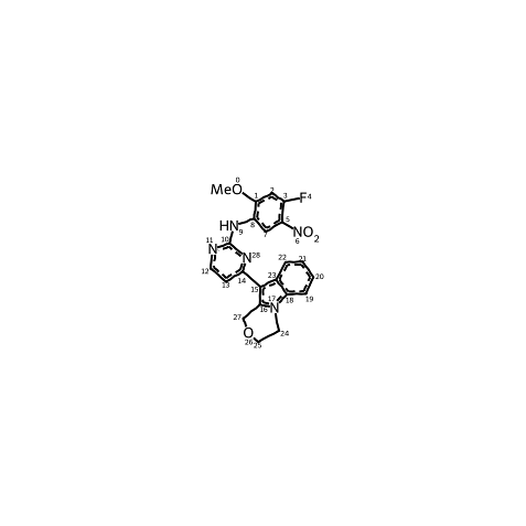 COc1cc(F)c([N+](=O)[O-])cc1Nc1nccc(-c2c3n(c4ccccc24)CCOC3)n1